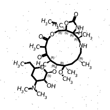 CCC1CC(N(C)C)C(O)[C@H](O[C@@H]2[C@@H](C)C(=O)C(C)C(=O)O[C@H](CC)[C@@]3(C)OC(=O)N[C@@H]3[C@@H](C)NC[C@H](C)C[C@@]2(C)OC)O1